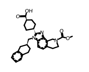 COC(=O)N1CCc2ccc3c(nc([C@H]4CC[C@H](C(=O)O)CC4)n3C[C@H]3CCc4ccccc4C3)c2C1